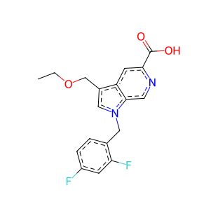 CCOCc1cn(Cc2ccc(F)cc2F)c2cnc(C(=O)O)cc12